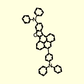 c1ccc(N(c2ccccc2)c2ccc(-c3cc4cccc5c6c7ccc(N(c8ccccc8)c8ccccc8)cc7oc6c6cccc3c6c45)cc2)cc1